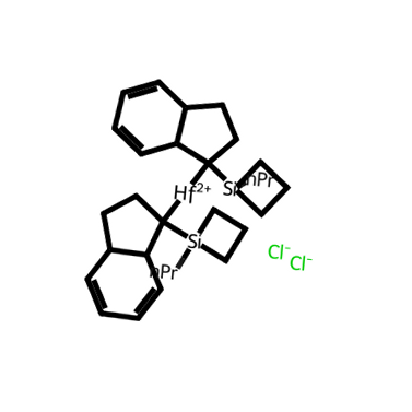 CCC[Si]1([C]2([Hf+2][C]3([Si]4(CCC)CCC4)CCC4C=CC=CC43)CCC3C=CC=CC32)CCC1.[Cl-].[Cl-]